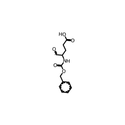 O=[C]C(CCC(=O)O)NC(=O)OCc1ccccc1